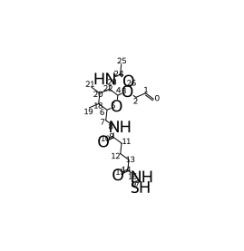 C=CCOC1OC(CNC(=O)CCCC(=O)NS)C(C)C(C)C1NC(C)=O